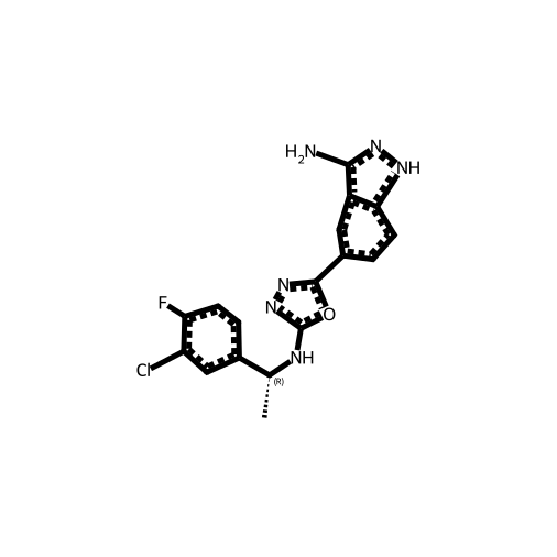 C[C@@H](Nc1nnc(-c2ccc3[nH]nc(N)c3c2)o1)c1ccc(F)c(Cl)c1